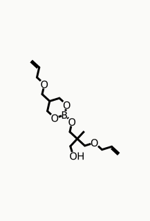 C=CCOCC1COB(OCC(C)(CO)COCC=C)OC1